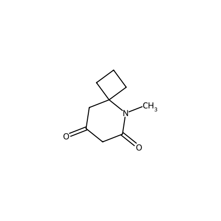 CN1C(=O)CC(=O)CC12CCC2